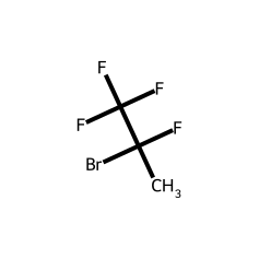 CC(F)(Br)C(F)(F)F